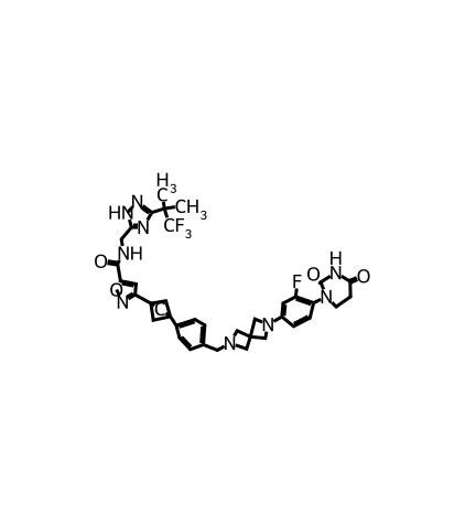 CC(C)(c1n[nH]c(CNC(=O)c2cc(C34CC(c5ccc(CN6CC7(C6)CN(c6ccc(N8CCC(=O)NC8=O)c(F)c6)C7)cc5)(C3)C4)no2)n1)C(F)(F)F